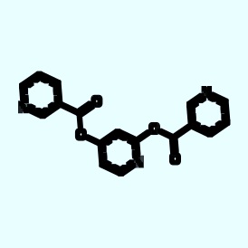 O=C(Oc1ccnc(OC(=O)c2cccnc2)c1)c1cccnc1